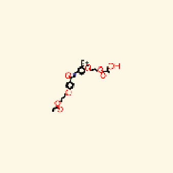 C=CC(=O)OCCCCOc1ccc(C(=O)/C=C/c2ccc(OCCCOC(=O)C(=C)CO)c(CC)c2)cc1